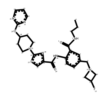 CCCNC(=O)c1cc(CN2CC(F)C2)ccc1NC(=O)c1csc(N2CCC(Oc3ncccn3)CC2)n1